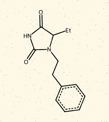 CCC1C(=O)NC(=O)N1CCc1ccccc1